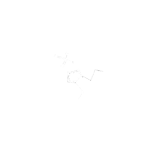 CCC[n+]1sncc1OC.O=S(=O)([O-])F